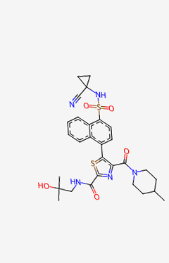 CC1CCN(C(=O)c2nc(C(=O)NCC(C)(C)O)sc2-c2ccc(S(=O)(=O)NC3(C#N)CC3)c3ccccc23)CC1